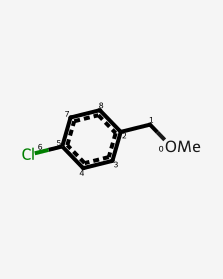 [CH2]OCc1ccc(Cl)cc1